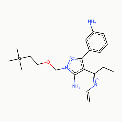 C=C/N=C(/CC)c1c(-c2cccc(N)c2)nn(COCC[Si](C)(C)C)c1N